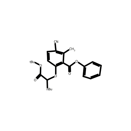 CCCCC(Oc1ccc(C#N)c(C)c1C(=O)Oc1ccccc1)C(=O)OC(C)(C)C